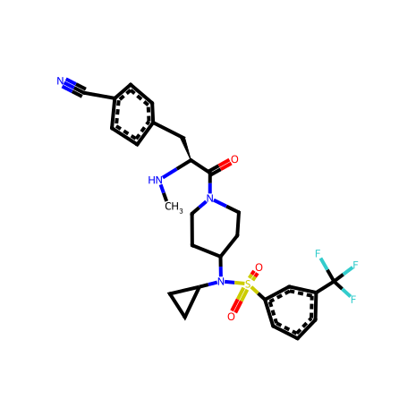 CN[C@@H](Cc1ccc(C#N)cc1)C(=O)N1CCC(N(C2CC2)S(=O)(=O)c2cccc(C(F)(F)F)c2)CC1